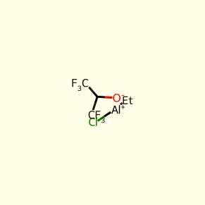 C[CH2][Al+][Cl].[O-]C(C(F)(F)F)C(F)(F)F